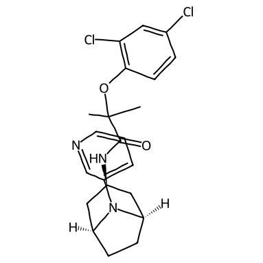 CC(C)(Oc1ccc(Cl)cc1Cl)C(=O)N[C@H]1C[C@H]2CC[C@@H](C1)N2c1cccnc1